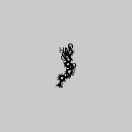 O=C1CCC(N2Cc3c(ccc4c3OCC43CCN(Cc4cccc(C5CC5)c4)CC3)C2=O)C(=O)N1